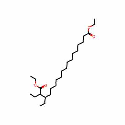 CCOC(=O)CCCCCCCCCCCCCCC(CC)C(CC)C(=O)OCC